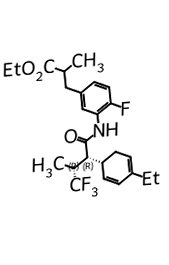 CCOC(=O)C(C)Cc1ccc(F)c(NC(=O)[C@H](C2C=CC(CC)=CC2)[C@@H](C)C(F)(F)F)c1